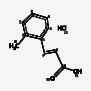 Cc1ccccc1C=CC(=O)O.Cl